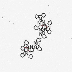 c1ccc(-n2c3ccccc3c3ccccc32)c(-c2cc(-n3c4ccccc4n4c5cc(-c6cccc7c6nc6n(-c8ccccc8-c8cc(-n9c%10ccccc%10n%10c%11ccccc%11nc9%10)nc(-n9c%10ccccc%10c%10ccccc%109)n8)c8ccccc8n76)ccc5nc34)nc(-n3c4ccccc4c4ccccc43)n2)c1